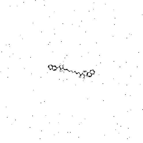 NN(C(=O)CCCCCCCCC(=O)N(N)C(=O)c1ccc2ccccc2c1)C(=O)c1ccc2ccccc2c1